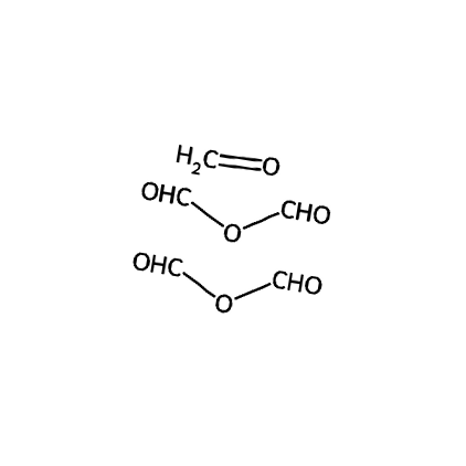 C=O.O=COC=O.O=COC=O